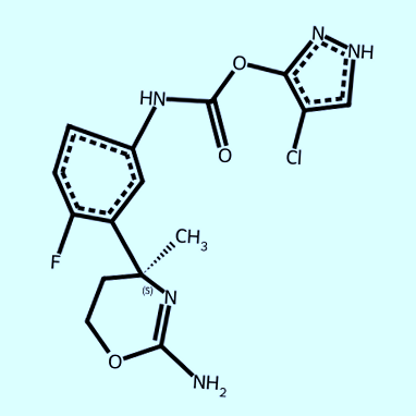 C[C@@]1(c2cc(NC(=O)Oc3n[nH]cc3Cl)ccc2F)CCOC(N)=N1